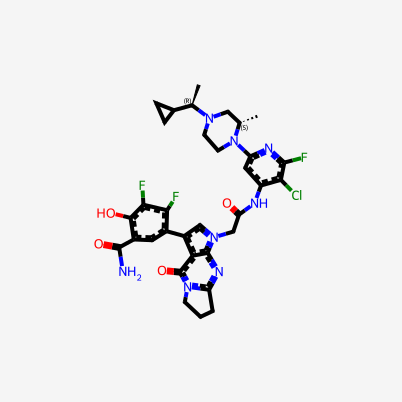 C[C@H](C1CC1)N1CCN(c2cc(NC(=O)Cn3cc(-c4cc(C(N)=O)c(O)c(F)c4F)c4c(=O)n5c(nc43)CCC5)c(Cl)c(F)n2)[C@@H](C)C1